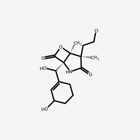 C[C@@]12OC(=O)[C@]1(C(O)C1=CC(O)CCC1)NC(=O)[C@]2(C)CCCl